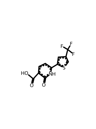 O=C(O)c1ccc(-c2cc(C(F)(F)F)cs2)[nH]c1=O